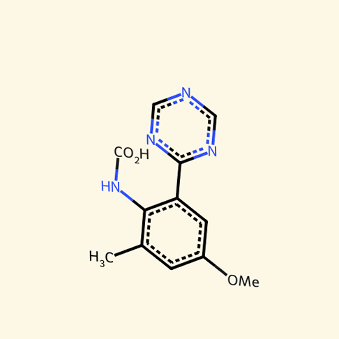 COc1cc(C)c(NC(=O)O)c(-c2ncncn2)c1